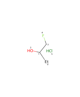 CCC(O)CF.Cl